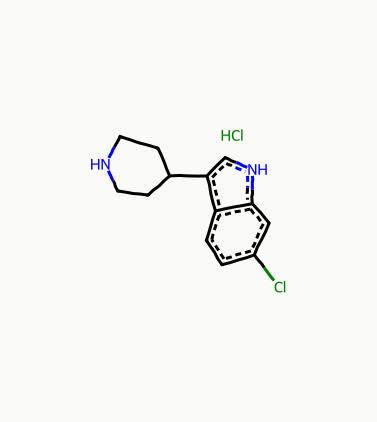 Cl.Clc1ccc2c(C3CCNCC3)c[nH]c2c1